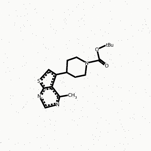 Cc1ncnc2scc(C3CCN(C(=O)OC(C)(C)C)CC3)c12